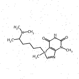 CC(CCCC[N+]1(C)C=Nc2c1c(=O)[nH]c(=O)n2C)N(C)C